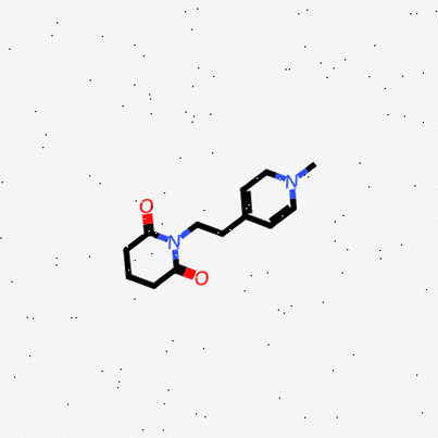 CN1C=CC(CCN2C(=O)CCCC2=O)=CC1